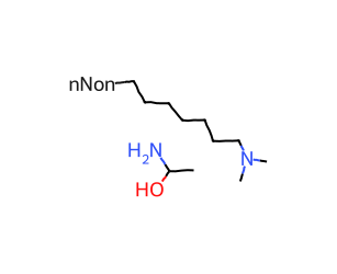 CC(N)O.CCCCCCCCCCCCCCCCN(C)C